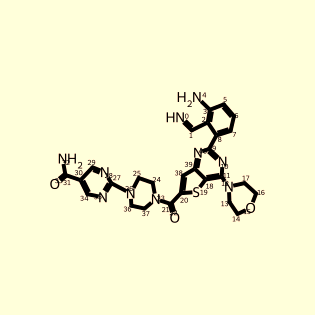 N=Cc1c(N)cccc1-c1nc(N2CCOCC2)c2sc(C(=O)N3CCN(c4ncc(C(N)=O)cn4)CC3)cc2n1